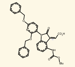 CC(C)(C)OC(=O)Nc1cccc2c1/C(=C/C(=O)O)C(=O)N2c1ccc(OCc2ccccc2)nc1OCc1ccccc1